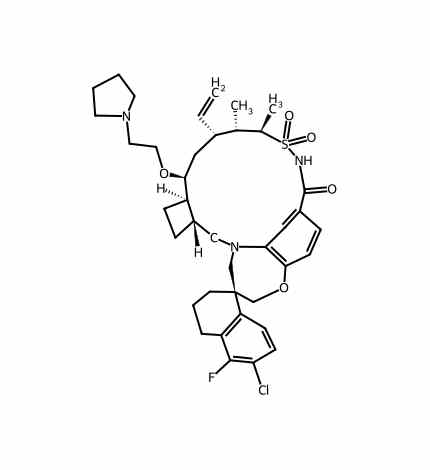 C=C[C@H]1C[C@H](OCCN2CCCC2)[C@@H]2CC[C@H]2CN2C[C@@]3(CCCc4c3ccc(Cl)c4F)COc3ccc(cc32)C(=O)NS(=O)(=O)[C@H](C)[C@H]1C